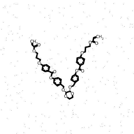 C=CC(=O)OCCCOc1ccc(C(=O)Oc2ccc(CO[C@@H]3OCCO[C@H]3OCc3ccc(OC(=O)c4ccc(OCCCOC(=O)C=C)cc4)cc3)cc2)cc1